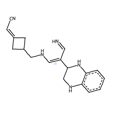 N#CC=C1CC(CN/C=C(\C=N)C2CNc3ccccc3N2)C1